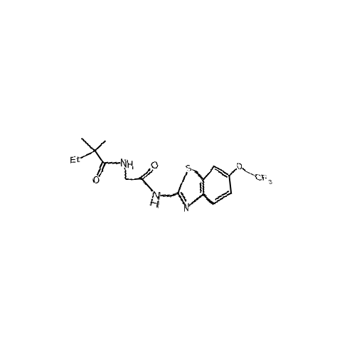 CCC(C)(C)C(=O)NCC(=O)Nc1nc2ccc(OC(F)(F)F)cc2s1